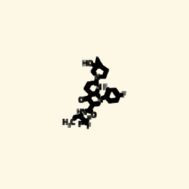 CCC(NC(=O)c1cn(-c2ccc(F)cc2F)c2nc(N3CCC4CC4(O)C3)ccc2c1=O)C(F)(F)F